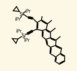 Cc1c(C#C[Si](C(C)C)(C(C)C)C2CC2)c(C#C[Si](C(C)C)(C(C)C)C2CC2)c2cc3cc4cc5ccccc5cc4c(C)c3c(C)c2c1C